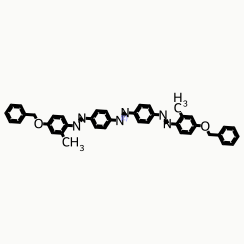 Cc1cc(OCc2ccccc2)ccc1N=Nc1ccc(/N=N/c2ccc(N=Nc3ccc(OCc4ccccc4)cc3C)cc2)cc1